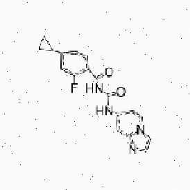 O=C(NC(=O)c1ccc(C2CC2)cc1F)Nc1ccn2ccnc2c1